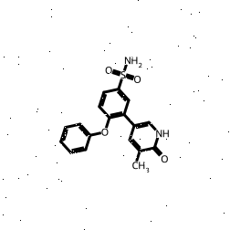 Cc1cc(-c2cc(S(N)(=O)=O)ccc2Oc2ccccc2)c[nH]c1=O